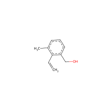 C=Cc1c(C)cccc1CO